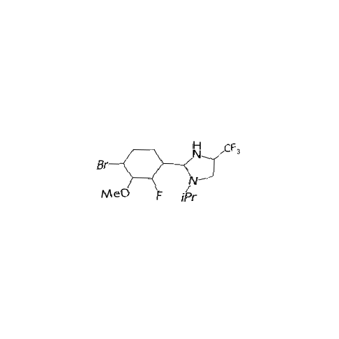 COC1C(Br)CCC(C2NC(C(F)(F)F)CN2C(C)C)C1F